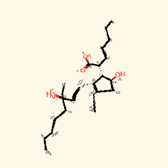 CCCCCC(C(=O)O)[C@H]1[C@@H](C=CC(C)(O)CCCCC)[C@H](C)C[C@@H]1O